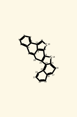 c1ccc2c(c1)cc1c3c(scc32)-c2sc3ccc4ccccc4c3c2C1